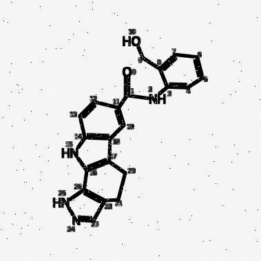 O=C(Nc1ccccc1CO)c1ccc2[nH]c3c(c2c1)CCc1cn[nH]c1-3